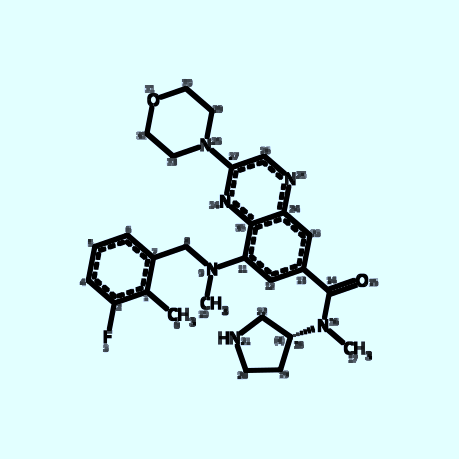 Cc1c(F)cccc1CN(C)c1cc(C(=O)N(C)[C@@H]2CCNC2)cc2ncc(N3CCOCC3)nc12